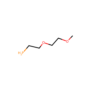 COCCOCCP